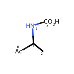 CC(=O)C(C)NC(=O)O